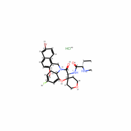 CC[C@H](NC)C(=O)N[C@@H]1C(=O)N(Cc2c(OC)ccc3cc(Br)ccc23)C2CC=C(F)C=C2OC12CCOCC2.Cl